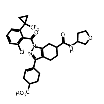 O=C(O)C1CC=C(c2nn(C(=O)c3c(Cl)cccc3C3(C(F)(F)F)CC3)c3c2CCC(C(=O)NC2CCOC2)C3)CC1